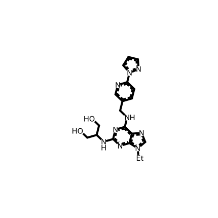 CCn1cnc2c(NCc3ccc(-n4cccn4)nc3)nc(NC(CO)CO)nc21